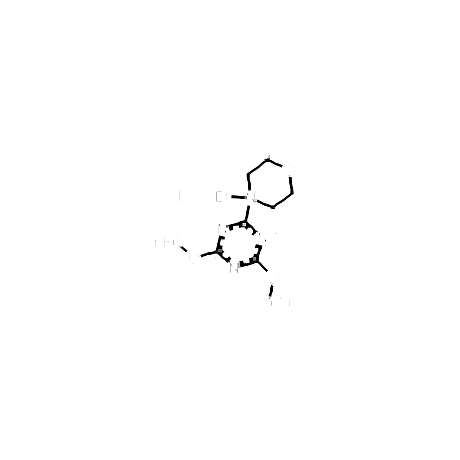 CCCCOc1nc(OCCCC)nc([N+]2(CC)CCOCC2)n1.[Cl-]